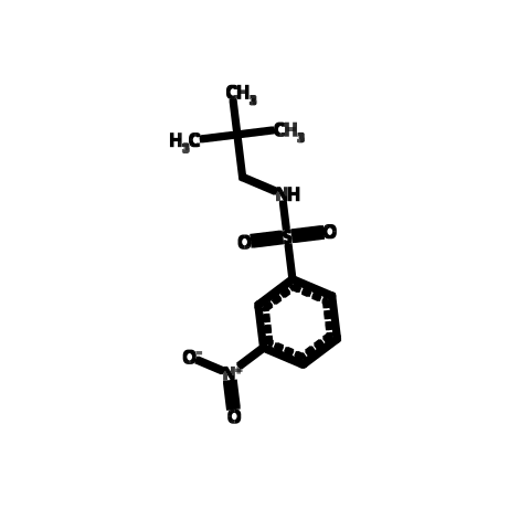 CC(C)(C)CNS(=O)(=O)c1cccc([N+](=O)[O-])c1